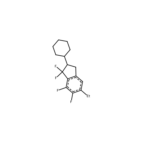 CCc1cc2c(c(F)c1F)C(F)(F)C(C1CCCCC1)C2